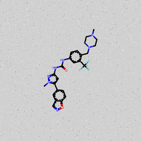 CN1CCN(Cc2ccc(NC(=O)Nc3cc(-c4ccc5oncc5c4)n(C)n3)cc2C(F)(F)F)CC1